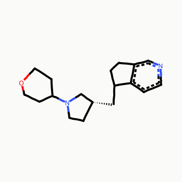 c1cc2c(cn1)CCC2C[C@@H]1CCN(C2CCOCC2)C1